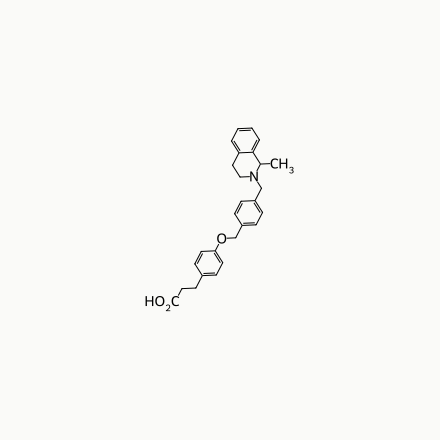 CC1c2ccccc2CCN1Cc1ccc(COc2ccc(CCC(=O)O)cc2)cc1